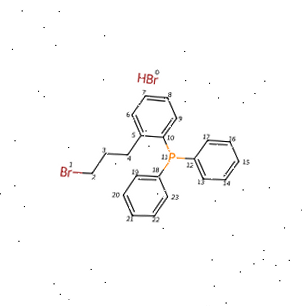 Br.BrCCCc1ccccc1P(c1ccccc1)c1ccccc1